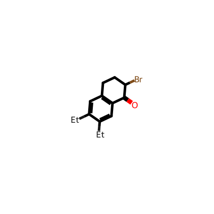 CCc1cc2c(cc1CC)C(=O)C(Br)CC2